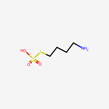 NCCCCSS(=O)(=O)O